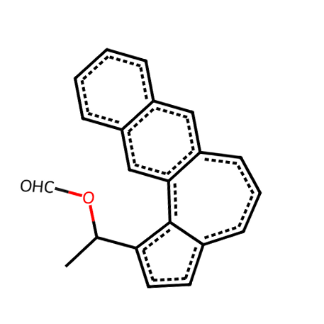 CC(OC=O)c1ccc2cccc3cc4ccccc4cc3c1-2